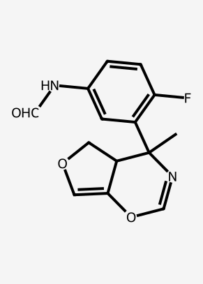 CC1(c2cc(NC=O)ccc2F)N=COC2=COCC21